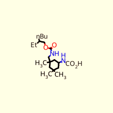 CCCCC(CC)COC(=O)NCC1(C)CC(NC(=O)O)CC(C)(C)C1